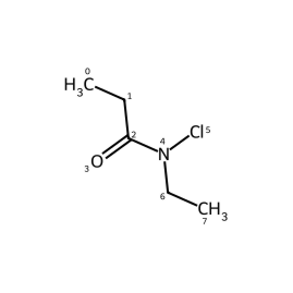 CCC(=O)N(Cl)CC